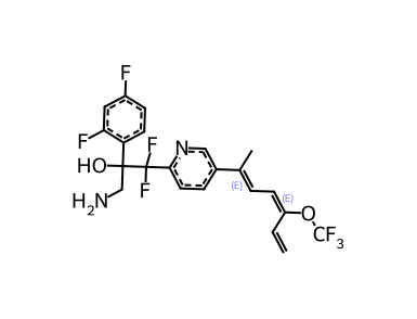 C=C/C(=C\C=C(/C)c1ccc(C(F)(F)C(O)(CN)c2ccc(F)cc2F)nc1)OC(F)(F)F